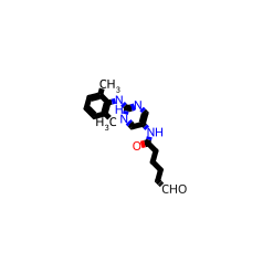 Cc1cccc(C)c1Nc1ncc(NC(=O)CCCCC=O)cn1